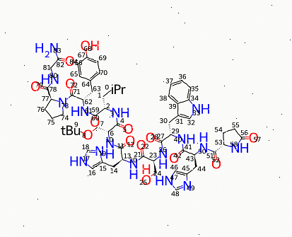 CC(C)C[C@H](NC(=O)[C@@H](COC(C)(C)C)NC(=O)[C@H](Cc1c[nH]cn1)NC(=O)[C@H](CO)NC(=O)[C@H](Cc1c[nH]c2ccccc12)NC(=O)[C@H](Cc1c[nH]cn1)NC(=O)[C@@H]1CCC(=O)N1)C(=O)N[C@@H](Cc1ccc(O)cc1)C(=O)N1CCC[C@H]1C(=O)NCC(N)=O